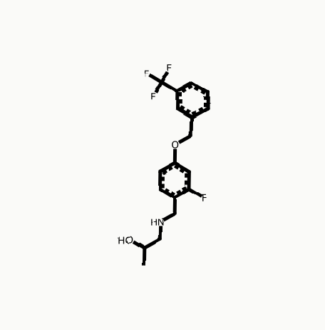 CC(O)CNCc1ccc(OCc2cccc(C(F)(F)F)c2)cc1F